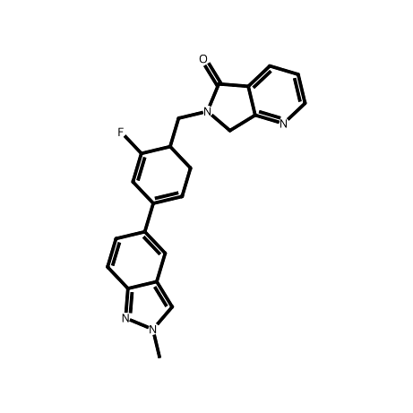 Cn1cc2cc(C3=CCC(CN4Cc5ncccc5C4=O)C(F)=C3)ccc2n1